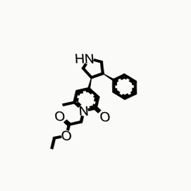 CCOC(=O)Cn1c(C)cc([C@H]2CNC[C@H]2c2ccccc2)cc1=O